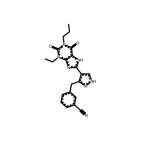 CCCn1c(=O)c2[nH]c(-c3c[nH]nc3Cc3cccc(C#N)c3)nc2n(CC)c1=O